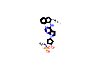 CC[C@H]1Cc2ccccc2[C@H]1Nc1ncnc2c1ccn2[C@H]1C[C@H](O)[C@@H](N(C)S(=O)(=O)O)C1